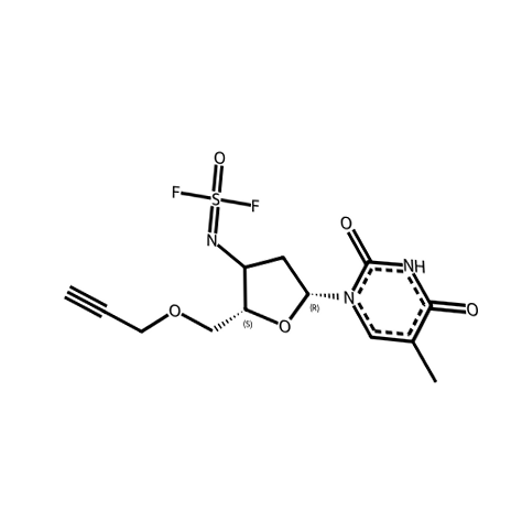 C#CCOC[C@H]1O[C@@H](n2cc(C)c(=O)[nH]c2=O)CC1N=S(=O)(F)F